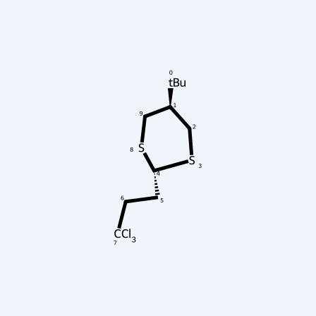 CC(C)(C)[C@H]1CS[C@H](CCC(Cl)(Cl)Cl)SC1